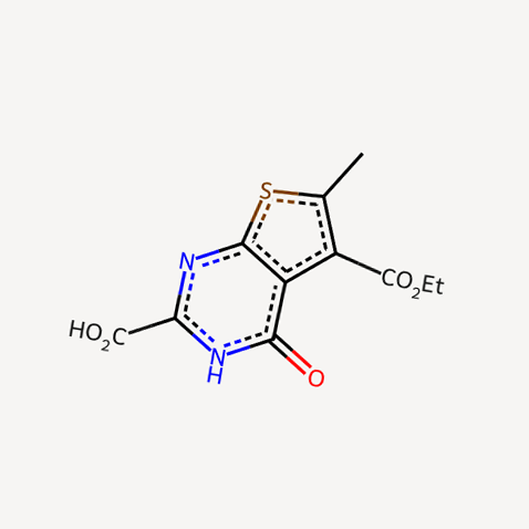 CCOC(=O)c1c(C)sc2nc(C(=O)O)[nH]c(=O)c12